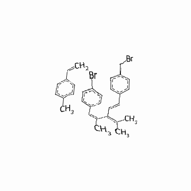 C=Cc1ccc(C)cc1.CC(=Cc1ccc(Br)cc1)C(C=Cc1ccc(CBr)cc1)=C(C)C